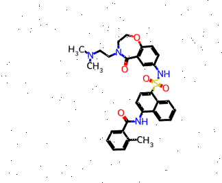 Cc1ccccc1C(=O)Nc1ccc(S(=O)(=O)Nc2ccc3c(c2)C(=O)N(CCN(C)C)CCO3)c2ccccc12